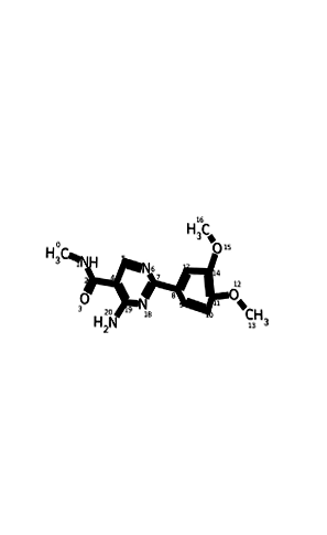 CNC(=O)c1cnc(-c2ccc(OC)c(OC)c2)nc1N